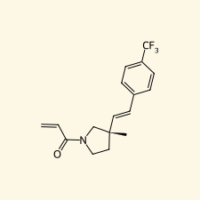 C=CC(=O)N1CC[C@@](C)(C=Cc2ccc(C(F)(F)F)cc2)C1